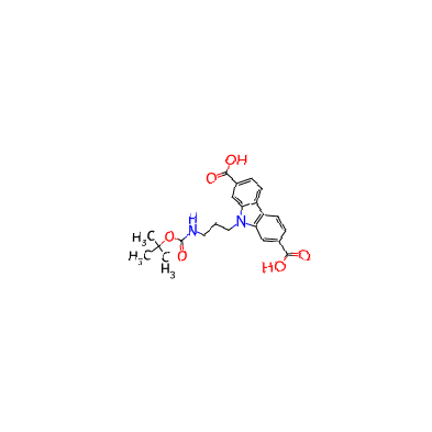 CC(C)(C)OC(=O)NCCCn1c2cc(C(=O)O)ccc2c2ccc(C(=O)O)cc21